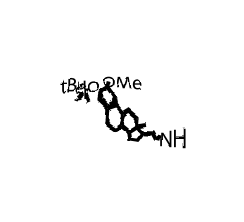 COc1cc2c(cc1O[Si](C)(C)C(C)(C)C)CCC1C2CCC2(C)C(=CC=N)CCC12